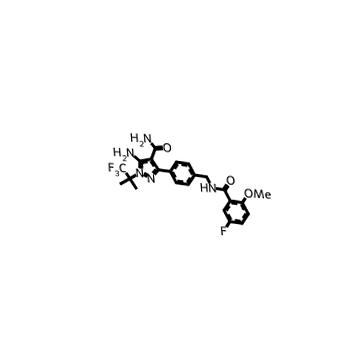 COc1ccc(F)cc1C(=O)NCc1ccc(-c2nn(C(C)(C)C(F)(F)F)c(N)c2C(N)=O)cc1